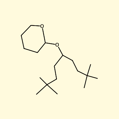 CC(C)(C)CCC(CCC(C)(C)C)OC1CCCCO1